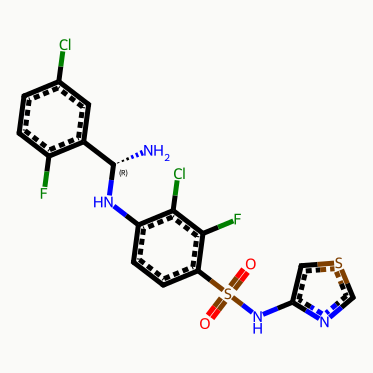 N[C@H](Nc1ccc(S(=O)(=O)Nc2cscn2)c(F)c1Cl)c1cc(Cl)ccc1F